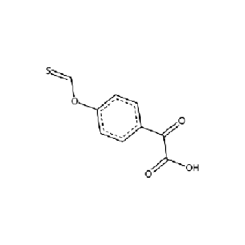 O=C(O)C(=O)c1ccc(OC=S)cc1